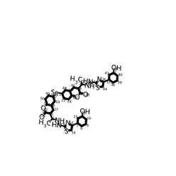 CC(NNc1nc(-c2cccc(O)c2)cs1)c1cc2cc([Se]c3ccc4oc(=O)c(C(C)NNc5nc(-c6cccc(O)c6)cs5)cc4c3)ccc2oc1=O